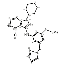 CSCc1cc(Cn2ccnn2)cc(Nc2nn(C3CCCCC3)c3cc[nH]c(=O)c23)c1